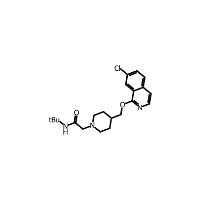 CC(C)(C)NC(=O)CN1CCC(COc2nccc3ccc(Cl)cc23)CC1